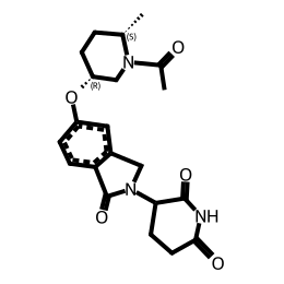 CC(=O)N1C[C@H](Oc2ccc3c(c2)CN(C2CCC(=O)NC2=O)C3=O)CC[C@@H]1C